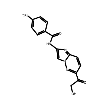 CC(C)(C)c1ccc(C(=O)Nc2cn3nc(C(=O)CO)ccc3n2)cc1